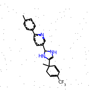 Cc1ccc(-c2ccc(C3NC=C(C4(C)C=CC(C(F)(F)F)=CC4)N3)cn2)cc1